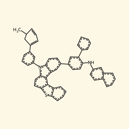 CC1C=CC=C(c2cccc(-n3c4ccc(-c5ccc(Nc6ccc7ccccc7c6)c(-c6ccccc6)c5)cc4c4c5c(ccc43)sc3ccccc35)c2)C1